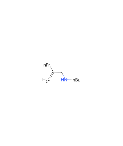 C=C(CCC)CNCCCC